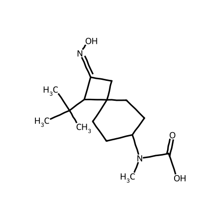 CN(C(=O)O)C1CCC2(CC1)CC(=NO)C2C(C)(C)C